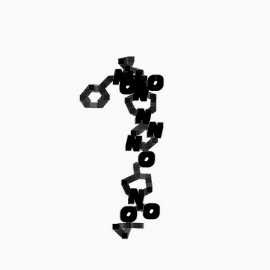 CC1(OC(=O)N2CCC(COc3cnc(N4CCN(S(=O)(=O)CC5(NCc6ccccc6)CC5)CC4)cn3)CC2)CC1